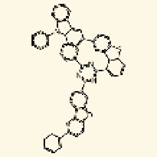 C1=CCCC(c2ccc3oc4cc(-c5nc(C6=CC=CC7Sc8ccc(C9=CCC%10C(=C9)c9ccccc9N%10c9ccccc9)cc8C67)nc(-c6ccccc6)n5)ccc4c3c2)=C1